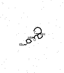 CC(C)(C)C[C@H]1CC[C@H](NC(=O)CC2CCCNC23CCCCCCCC3)CC1